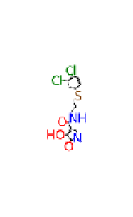 CN1CC(C(=O)NCCCSc2ccc(Cl)c(Cl)c2)=C(O)C1=O